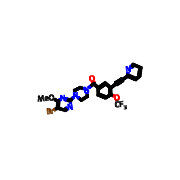 COc1nc(N2CCN(C(=O)c3ccc(OC(F)(F)F)c(C#Cc4ccccn4)c3)CC2)ncc1Br